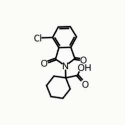 O=C1c2cccc(Cl)c2C(=O)N1C1(C(=O)O)CCCCC1